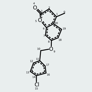 Cc1cc(=O)oc2cc(OCc3ccc(Cl)cc3)ccc12